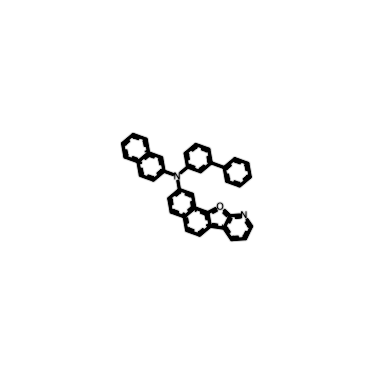 c1ccc(-c2cccc(N(c3ccc4ccccc4c3)c3ccc4ccc5c6cccnc6oc5c4c3)c2)cc1